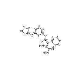 Nc1nc2ccccc2c2c1NCN2Cc1cccc(CN2CCCC2)c1